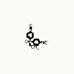 [C-]#[N+]c1ccc(P(=O)(CC)c2ccc([N+]#[C-])cc2)cc1